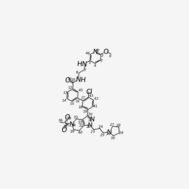 COc1ccc(NCCNC(=O)c2cccc(-c3cc(-c4nn(CCCN5CCCC5)c5c4CN(S(C)(=O)=O)CC5)ccc3Cl)c2)cn1